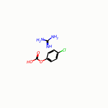 N=C(N)N.O=C(O)Oc1ccc(Cl)cc1